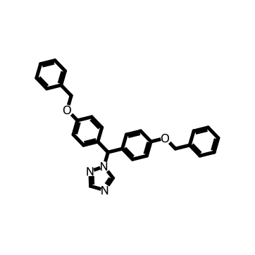 c1ccc(COc2ccc(C(c3ccc(OCc4ccccc4)cc3)n3cncn3)cc2)cc1